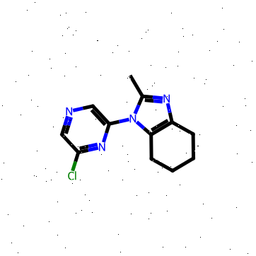 Cc1nc2c(n1-c1cncc(Cl)n1)CCCC2